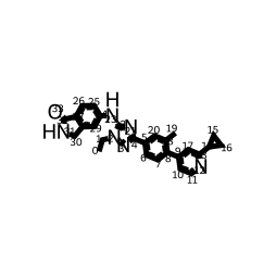 CCn1nc(-c2ccc(-c3ccnc(C4CC4)c3)c(C)c2)nc1Nc1ccc2c(c1)CNC2=O